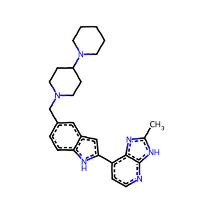 Cc1nc2c(-c3cc4cc(CN5CCC(N6CCCCC6)CC5)ccc4[nH]3)ccnc2[nH]1